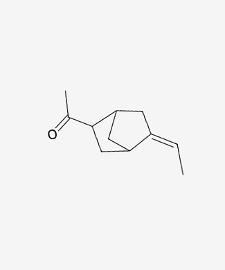 CC=C1CC2CC1CC2C(C)=O